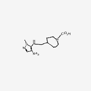 Cn1ncc(N)c1NCC1CCN(C(=O)O)CC1